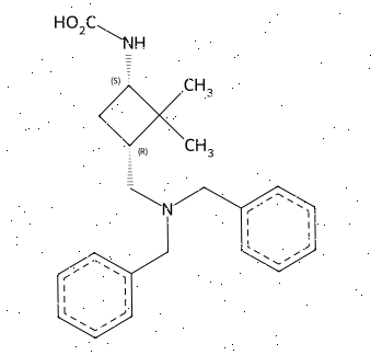 CC1(C)[C@H](CN(Cc2ccccc2)Cc2ccccc2)C[C@@H]1NC(=O)O